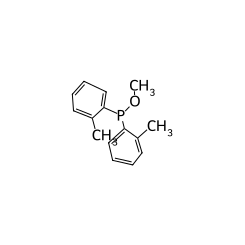 COP(c1ccccc1C)c1ccccc1C